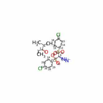 CCC(=O)C(C)C.[N-]=[N+]=C(S(=O)(=O)c1ccc(Cl)cc1)S(=O)(=O)c1ccc(Cl)cc1